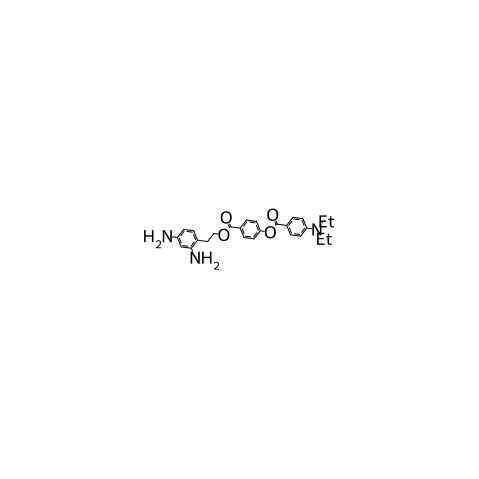 CCN(CC)c1ccc(C(=O)Oc2ccc(C(=O)OCCc3ccc(N)cc3N)cc2)cc1